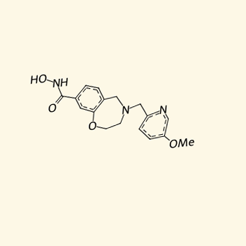 COc1ccc(CN2CCOc3cc(C(=O)NO)ccc3C2)nc1